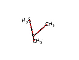 [CH2]CCCCCC(CCCCCCCCCCCCCCCCCCCCC)CCCCCCCCCCCCCCCCCCCCCC